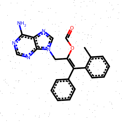 Cc1ccccc1/C(=C(/Cn1cnc2c(N)ncnc21)OC=O)c1ccccc1